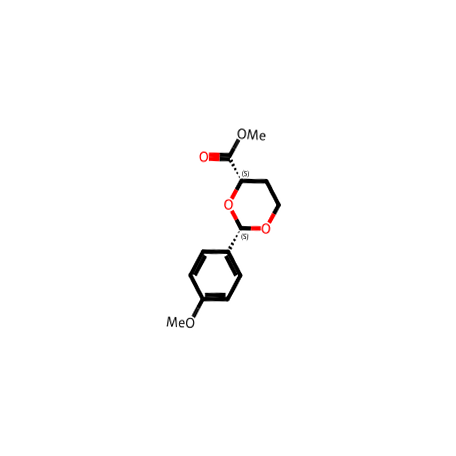 COC(=O)[C@@H]1CCO[C@H](c2ccc(OC)cc2)O1